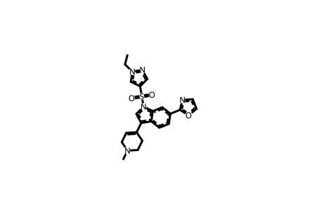 CCn1cc(S(=O)(=O)n2cc(C3=CCN(C)CC3)c3ccc(-c4ncco4)cc32)cn1